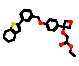 CCOC(=O)COC1(c2ccc(OCc3cccc(-c4cc5c(s4)CCCC5)c3)cc2)COC1